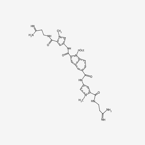 CCCCCCCCn1c(C(=O)Nc2cc(C(=O)NCCC(=N)N)n(C)c2)cc2cc(C(=O)Nc3cc(C(=O)NCCC(=N)N)n(C)c3)ccc21